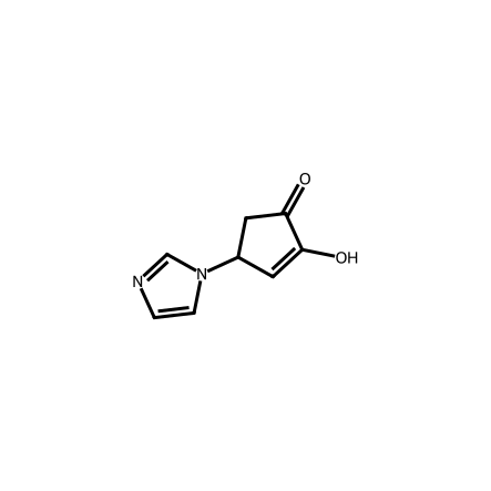 O=C1CC(n2ccnc2)C=C1O